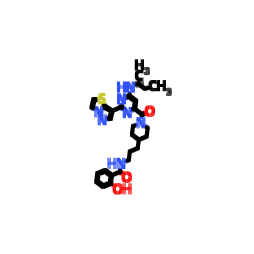 CC[C@H](C)Nc1cc(C(=O)N2CCC(CCCNC(=O)c3ccccc3O)CC2)nc(-c2cnn3ccsc23)n1